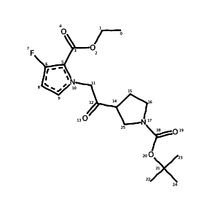 CCOC(=O)c1c(F)ccn1CC(=O)C1CCN(C(=O)OC(C)(C)C)C1